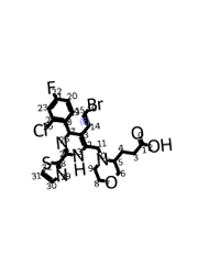 O=C(O)CCC1COCCN1CC1=C(/C=C/Br)C(c2ccc(F)cc2Cl)N=C(c2nccs2)N1